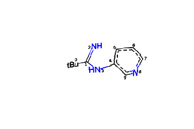 CC(C)(C)C(=N)Nc1cccnc1